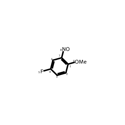 COc1ccc(F)cc1N=O